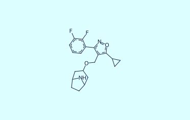 Fc1cccc(-c2noc(C3CC3)c2COC2CC3CCC(C2)N3)c1F